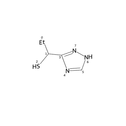 [CH2]CC(S)c1nc[nH]n1